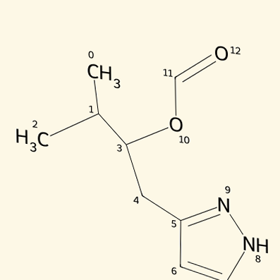 CC(C)C(Cc1cc[nH]n1)OC=O